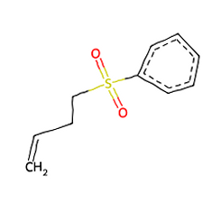 C=CCCS(=O)(=O)c1ccccc1